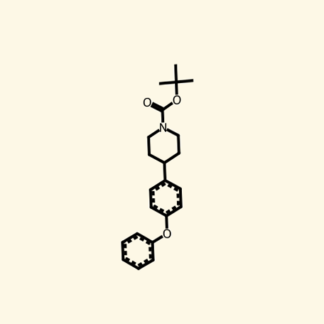 CC(C)(C)OC(=O)N1CCC(c2ccc(Oc3ccccc3)cc2)CC1